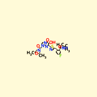 CC(C)NC(=O)c1cc(F)ccc1Cc1cnc(-c2nc3n(CC(=O)N4CC(C)OC(C)C4)ccn3c(=O)c2O)s1